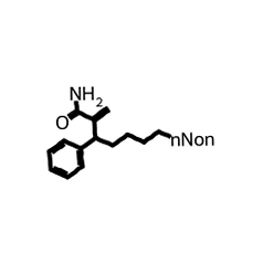 C=C(C(N)=O)C(CCCCCCCCCCCCC)c1ccccc1